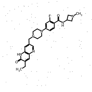 CCc1cc2ncc(CN3CCN(c4ccc(C(=O)NC5CN(C)C5)c(F)c4)CC3)cc2[nH]c1=O